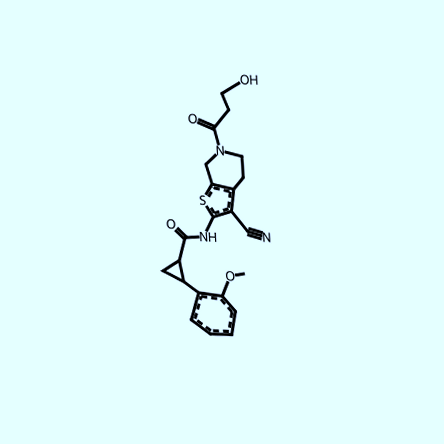 COc1ccccc1C1CC1C(=O)Nc1sc2c(c1C#N)CCN(C(=O)CCO)C2